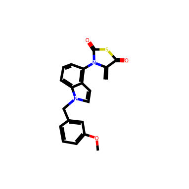 C=C1C(=O)SC(=O)N1c1cccc2c1ccn2Cc1cccc(OC)c1